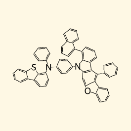 c1ccc(-c2c3c(cc4c2c2cccc(-c5cccc6ccccc56)c2n4-c2ccc(N(c4ccccc4)c4cccc5c4sc4ccccc45)cc2)oc2ccccc23)cc1